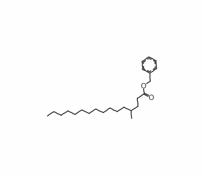 CCCCCCCCCCCCC(C)CCC(=O)OCc1ccccc1